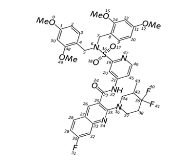 COc1ccc(CN(Cc2ccc(OC)cc2OC)S(=O)(=O)c2cc(NC(=O)c3cc4ccc(F)cc4nc3N3CCC(F)(F)C(C)C3)ccn2)c(OC)c1